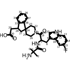 CC(C)(N)C(=O)NC(Cc1c[nH]c2ccc(F)cc12)C(=O)N1CCC2(CC1)CC(CC(=O)O)c1ccccc12